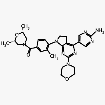 Cc1cc(C(=O)N2C[C@@H](C)O[C@@H](C)C2)ccc1N1CCc2c(-c3cnc(N)nc3)nc(N3CCOCC3)nc21